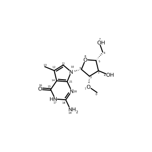 CO[C@H]1C(O)[C@@H](CO)O[C@H]1n1cc(C)c2c(=O)[nH]c(N)nc21